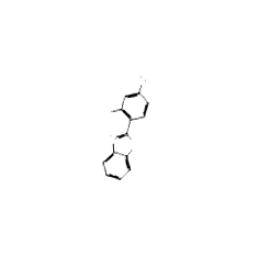 Nc1ccc(-c2nc3ccccc3s2)c(O)c1